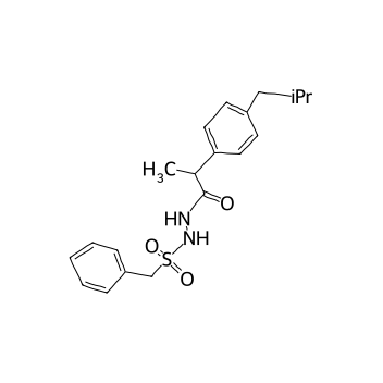 CC(C)Cc1ccc(C(C)C(=O)NNS(=O)(=O)Cc2ccccc2)cc1